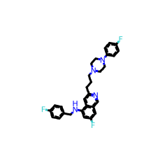 Fc1ccc(CNc2cc(F)cc3cnc(CCCN4CCN(c5ccc(F)cc5)CC4)cc23)cc1